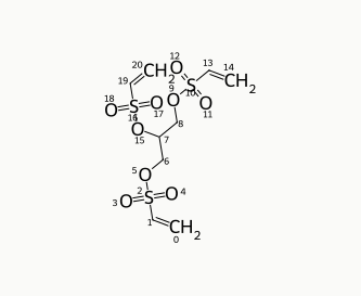 C=CS(=O)(=O)OCC(COS(=O)(=O)C=C)OS(=O)(=O)C=C